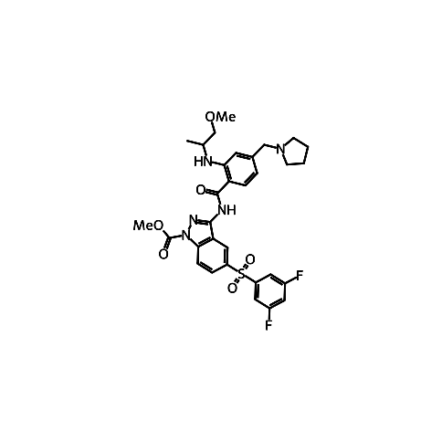 COCC(C)Nc1cc(CN2CCCC2)ccc1C(=O)Nc1nn(C(=O)OC)c2ccc(S(=O)(=O)c3cc(F)cc(F)c3)cc12